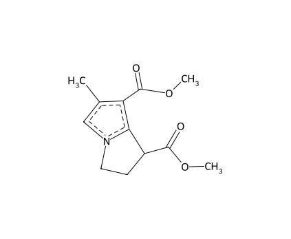 COC(=O)c1c(C)cn2c1C(C(=O)OC)CC2